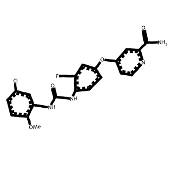 COc1ccc(Cl)cc1NC(=O)Nc1ccc(Oc2ccnc(C(N)=O)c2)cc1F